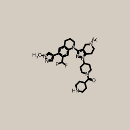 CC(=O)N1CCc2c(c(N3CCCc4cc(-c5cnn(C)c5)c(C(F)F)cc43)nn2C2CCN(C(=O)C3CCNCC3)CC2)C1